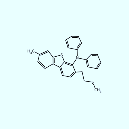 CSCCc1ccc2c(sc3cc(C)ccc32)c1N(c1ccccc1)c1ccccc1